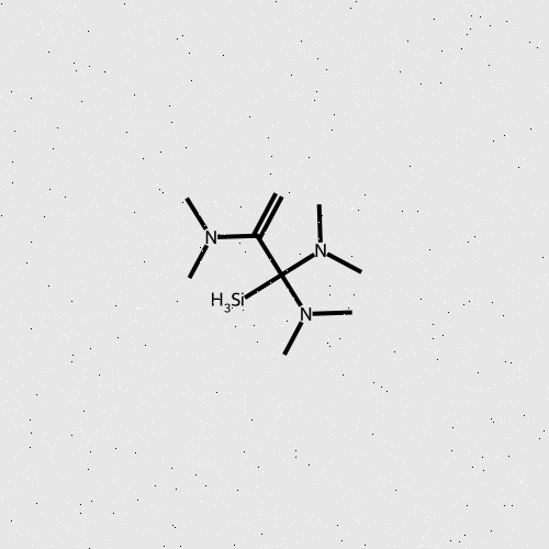 C=C(N(C)C)C([SiH3])(N(C)C)N(C)C